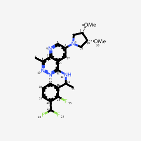 CO[C@H]1CN(c2cnc3c(C)nnc(NC(C)c4cccc(C(F)F)c4F)c3c2)C[C@H]1OC